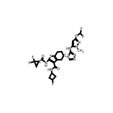 Cn1nc(OC(F)F)cc1Nc1nncn1[C@H]1CCc2sc(NC(=O)[C@H]3CC3(F)F)c(C(=O)NC3CC(F)C3)c2C1